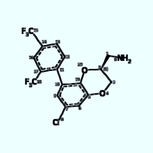 NC[C@H]1COc2cc(Cl)cc(-c3ccc(C(F)(F)F)cc3C(F)(F)F)c2O1